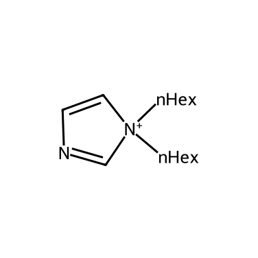 CCCCCC[N+]1(CCCCCC)C=CN=C1